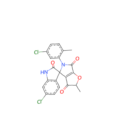 Cc1ccc(Cl)cc1N1C(=O)C2=C(C(=O)C(C)O2)C12C(=O)Nc1cc(Cl)ccc12